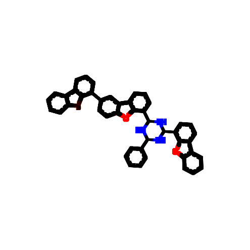 c1ccc(C2NC(c3cccc4c3oc3ccccc34)NC(c3cccc4c3oc3ccc(-c5cccc6c5sc5ccccc56)cc34)N2)cc1